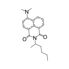 CCCCC(C)N1C(=O)c2cccc3c(N(C)C)ccc(c23)C1=O